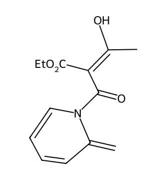 C=C1C=CC=CN1C(=O)/C(C(=O)OCC)=C(\C)O